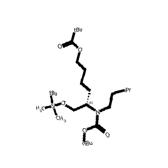 CCCCOC(=O)N(CCC(C)C)[C@@H](CCCCOC(=O)C(C)(C)C)CO[Si](C)(C)C(C)(C)C